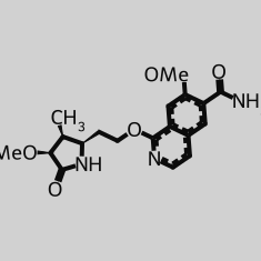 COc1cc2c(OCC[C@H]3NC(=O)[C@@H](OC)[C@H]3C)nccc2cc1C(N)=O